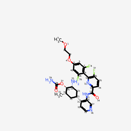 COCCOc1cc(F)c(-c2nc(C(=O)Nc3cnccc3[C@H]3C[C@@H](N)[C@@H](OC(N)=O)[C@@H](C)C3)ccc2F)c(F)c1